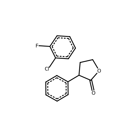 Fc1ccccc1Cl.O=C1OCCC1c1ccccc1